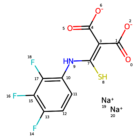 O=C([O-])C(C(=O)[O-])=C(S)Nc1ccc(F)c(F)c1F.[Na+].[Na+]